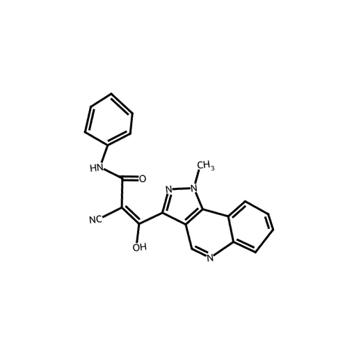 Cn1nc(C(O)=C(C#N)C(=O)Nc2ccccc2)c2cnc3ccccc3c21